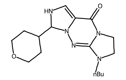 CCCCN1CCN2C(=O)C3=CNC(C4CCOCC4)N3N=C12